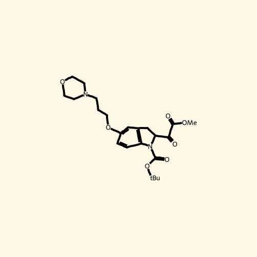 COC(=O)C(=O)C1Cc2cc(OCCCN3CCOCC3)ccc2N1C(=O)OC(C)(C)C